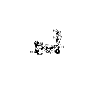 C=CC(=O)O.C=CC(=O)O.C=CC(=O)O.C=CC(=O)O.C=CC(=O)O.O=[PH](O)C(O)c1ccccc1.OCC(CO)(CO)COCC(CO)(CO)CO